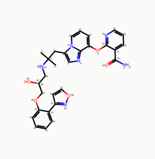 CC(C)(Cc1cnc2c(Oc3ncccc3C(N)=O)cccn12)NC[C@H](O)COc1ccccc1-c1ccon1